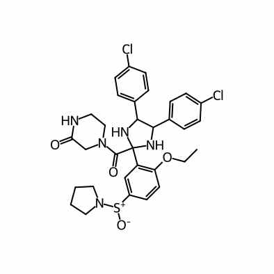 CCOc1ccc([S+]([O-])N2CCCC2)cc1C1(C(=O)N2CCNC(=O)C2)NC(c2ccc(Cl)cc2)C(c2ccc(Cl)cc2)N1